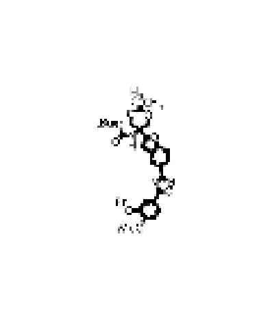 CCOc1cc(-c2nc(-c3ccc4oc(C5(NC(=O)OC(C)(C)C)COC(C)(C)OC5)cc4c3)no2)ccc1OC